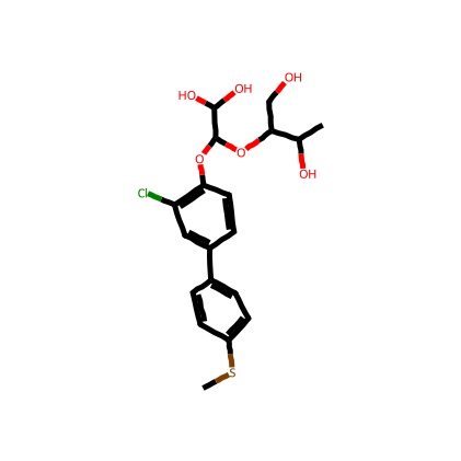 CSc1ccc(-c2ccc(OC(OC(CO)C(C)O)C(O)O)c(Cl)c2)cc1